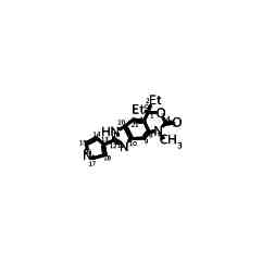 CCC1(CC)OC(=O)N(C)c2cc3nc(-c4ccncc4)[nH]c3cc21